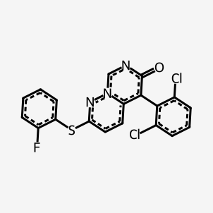 O=c1ncn2nc(Sc3ccccc3F)ccc2c1-c1c(Cl)cccc1Cl